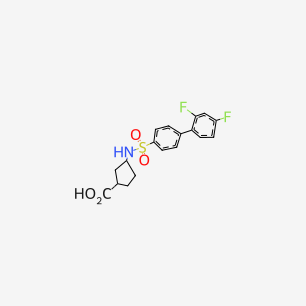 O=C(O)C1CCC(NS(=O)(=O)c2ccc(-c3ccc(F)cc3F)cc2)C1